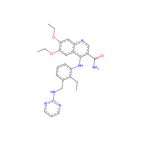 CCOc1cc2ncc(C(N)=O)c(Nc3cccc(CNc4ncccn4)c3CC)c2cc1OCC